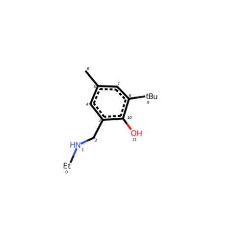 CCNCc1cc(C)cc(C(C)(C)C)c1O